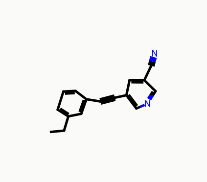 CCc1cccc(C#Cc2cncc(C#N)c2)c1